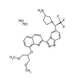 COCC(COC)Oc1cccc2ccc(-c3nnc4ccc([C@@H](N5CCC(N)C5)C(F)(F)F)cn34)nc12.Cl.Cl